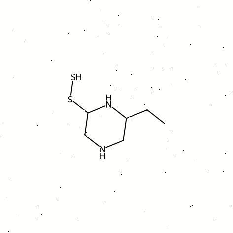 CCC1CNCC(SS)N1